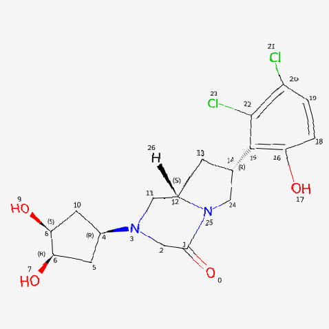 O=C1CN([C@H]2C[C@@H](O)[C@@H](O)C2)C[C@@H]2C[C@H](c3c(O)ccc(Cl)c3Cl)CN12